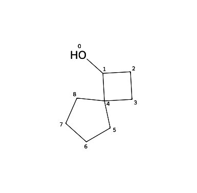 OC1CCC12CCCC2